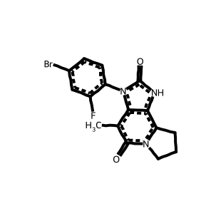 Cc1c(=O)n2c(c3[nH]c(=O)n(-c4ccc(Br)cc4F)c13)CCC2